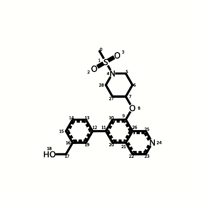 CS(=O)(=O)N1CCC(Oc2cc(-c3cccc(CO)c3)cc3ccncc23)CC1